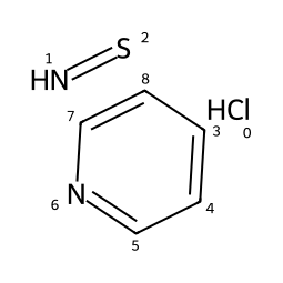 Cl.N=S.c1ccncc1